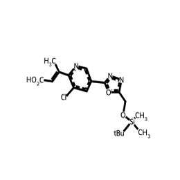 CC(=CC(=O)O)c1ncc(-c2nnc(CO[Si](C)(C)C(C)(C)C)o2)cc1Cl